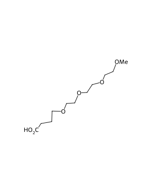 COCCOCCOCCOCCCC(=O)O